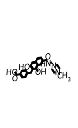 CN1CCN(CNC(=O)c2ccc3cc(O)c(Cc4ccc(C(=O)O)cc4)c(O)c3c2)CC1